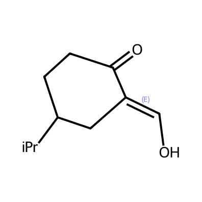 CC(C)C1CCC(=O)/C(=C/O)C1